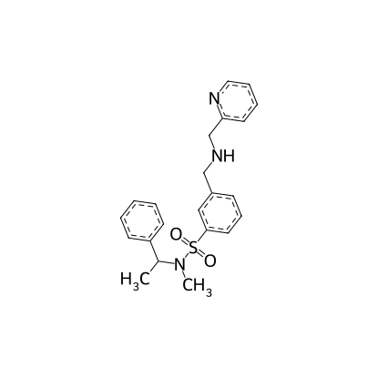 CC(c1ccccc1)N(C)S(=O)(=O)c1cccc(CNCc2ccccn2)c1